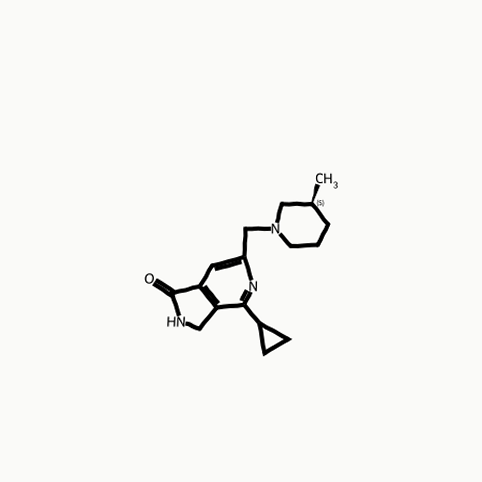 C[C@H]1CCCN(Cc2cc3c(c(C4CC4)n2)CNC3=O)C1